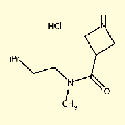 CC(C)CCN(C)C(=O)C1CNC1.Cl